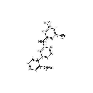 COc1ccccc1-c1cccc(Nc2cc(C(C)C)cc(C(C)C)c2)c1